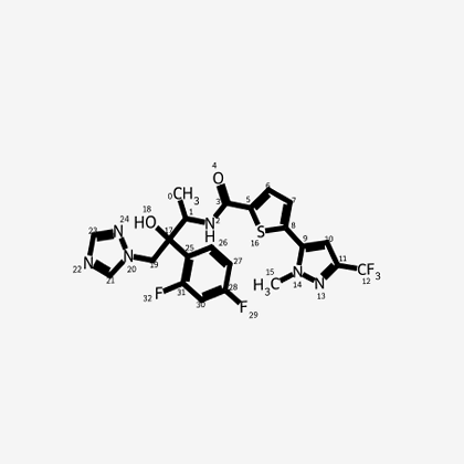 CC(NC(=O)c1ccc(-c2cc(C(F)(F)F)nn2C)s1)C(O)(Cn1cncn1)c1ccc(F)cc1F